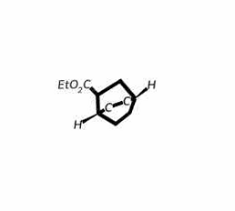 CCOC(=O)C1C[C@H]2CC[C@@H]1CC2